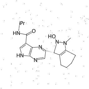 CC(C)NC(=O)c1c[nH]c2ncc([C@H]3C4=C(CCCC4)N(C)N3O)nc12